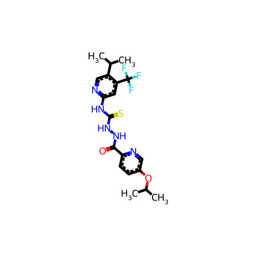 CC(C)Oc1ccc(C(=O)NNC(=S)Nc2cc(C(F)(F)F)c(C(C)C)cn2)nc1